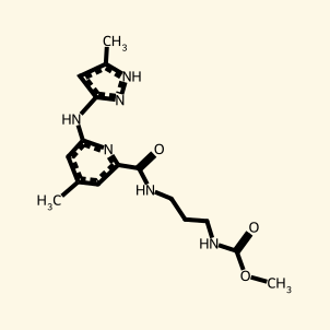 COC(=O)NCCCNC(=O)c1cc(C)cc(Nc2cc(C)[nH]n2)n1